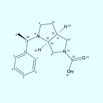 C[C@H](c1ccccc1)N1CC[C@H]2CN(C(=O)O)C[C@H]21